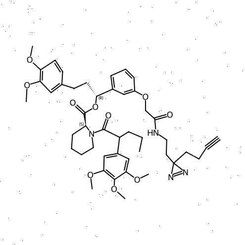 C#CCCC1(CCNC(=O)COc2cccc([C@@H](CCc3ccc(OC)c(OC)c3)OC(=O)[C@@H]3CCCCN3C(=O)C(CCC)c3cc(OC)c(OC)c(OC)c3)c2)N=N1